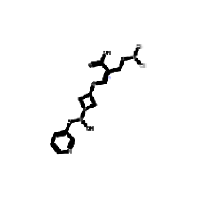 O=C(O)/C(=C\OC1CN(N(O)Sc2cccnc2)C1)COB(O)O